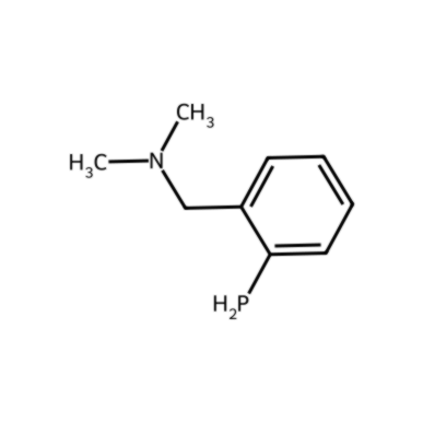 CN(C)Cc1ccccc1P